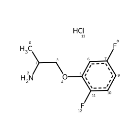 CC(N)COc1cc(F)ccc1F.Cl